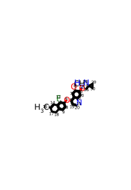 COc1cc2c(Oc3ccc4c(c3F)C=C(C)CC4)ccnc2cc1OCC1(N)CC1